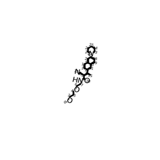 COCCCOCCNC(=O)/C(C#N)=C(\C)c1ccc2cc(N3CCCCC3)ccc2c1